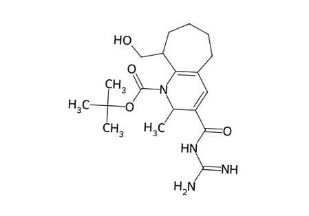 CC1C(C(=O)NC(=N)N)=CC2=C(C(CO)CCCC2)N1C(=O)OC(C)(C)C